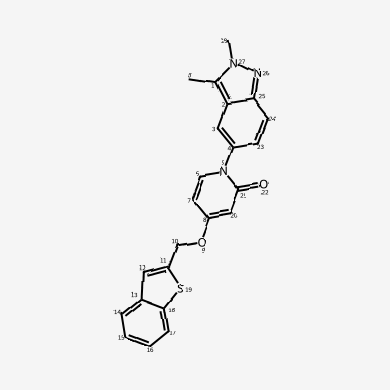 Cc1c2cc(-n3ccc(OCc4cc5ccccc5s4)cc3=O)ccc2nn1C